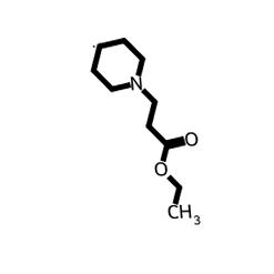 CCOC(=O)CCN1CC[CH]CC1